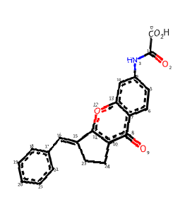 O=C(O)C(=O)Nc1ccc2c(=O)c3c(oc2c1)C(=Cc1ccccc1)CC3